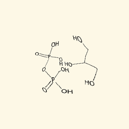 O=P(O)(O)OP(=O)(O)O.OCC(O)CO